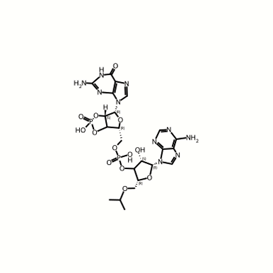 CC(C)OC[C@H]1O[C@@H](n2cnc3c(N)ncnc32)[C@@H](O)C1OP(=O)(O)OC[C@H]1O[C@@H](n2cnc3c(=O)[nH]c(N)nc32)[C@H]2OP(=O)(O)OC12